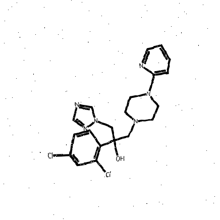 OC(CN1CCN(c2ccccn2)CC1)(Cn1cncn1)c1ccc(Cl)cc1Cl